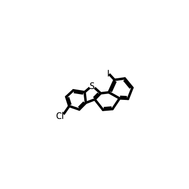 Clc1ccc2sc3c(ccc4cccc(I)c43)c2c1